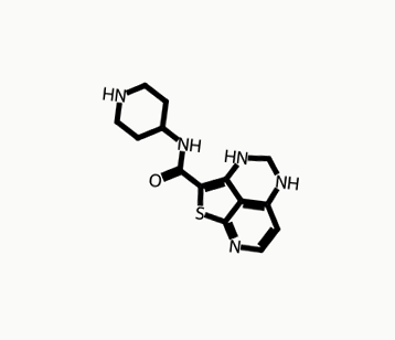 O=C(NC1CCNCC1)c1sc2nccc3c2c1NCN3